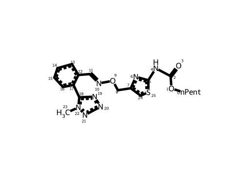 CCCCCOC(=O)Nc1nc(CON=Cc2ccccc2-c2nnnn2C)cs1